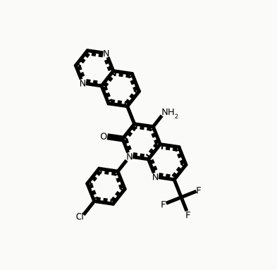 Nc1c(-c2ccc3nccnc3c2)c(=O)n(-c2ccc(Cl)cc2)c2nc(C(F)(F)F)ccc12